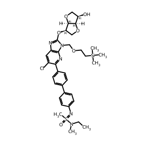 CCN(C)S(C)(=O)=Nc1ccc(-c2ccc(-c3nc4c(cc3Cl)nc(O[C@@H]3CO[C@H]5[C@@H]3OC[C@H]5O)n4COCC[Si](C)(C)C)cc2)cc1